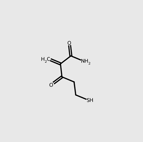 C=C(C(N)=O)C(=O)CCS